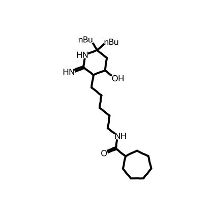 CCCCC1(CCCC)CC(O)C(CCCCCNC(=O)C2CCCCCC2)C(=N)N1